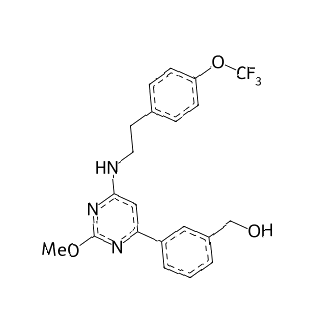 COc1nc(NCCc2ccc(OC(F)(F)F)cc2)cc(-c2cccc(CO)c2)n1